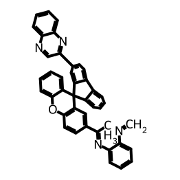 C=Nc1ccccc1/N=C(\C)c1ccc2c(c1)C1(c3ccccc3O2)c2ccccc2-c2ccc(-c3cnc4ccccc4n3)cc21